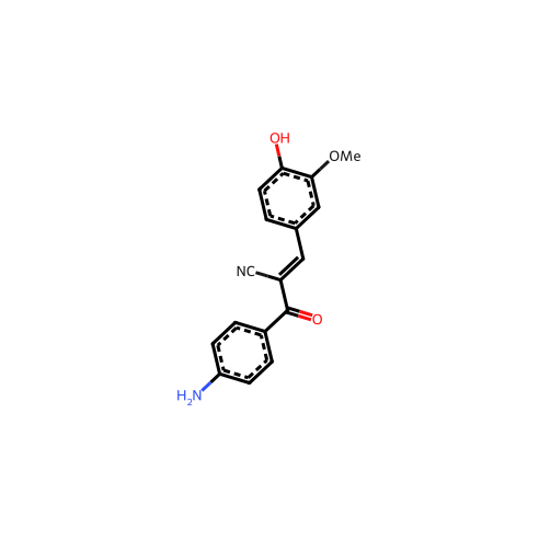 COc1cc(/C=C(\C#N)C(=O)c2ccc(N)cc2)ccc1O